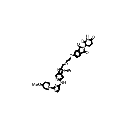 COC1CCN(c2nccc(Nc3cc4c(cn3)nc(COCCOc3ccc5c(c3)C(=O)N(C3CCC(=O)NC3=O)C5=O)n4C(C)C)n2)CC1